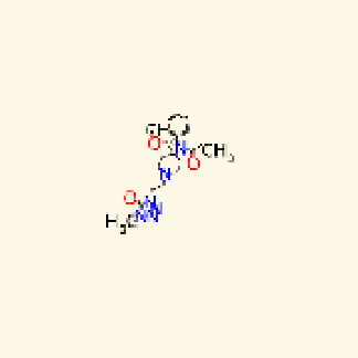 CCC(=O)N(c1ccccc1)C1(COC)CCN(CCn2nnn(C)c2=O)CC1